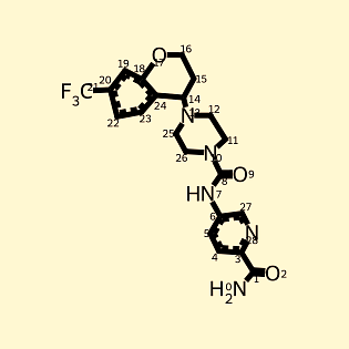 NC(=O)c1ccc(NC(=O)N2CCN(C3CCOc4cc(C(F)(F)F)ccc43)CC2)cn1